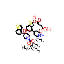 CC(C)(C)OC(=O)N1CCC(O)(c2cccc3sccc23)CC1.CC1CC(c2cccc3sccc23)CCN1.O=C(O)CCC(=O)O